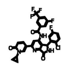 O=C(Nc1cc(-c2ccc(=O)n(C3CC3)c2)nc2c1C(c1cc(F)ccc1Cl)NC2=O)c1cc(F)cc(C(F)(F)F)c1